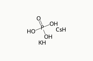 O=P(O)(O)O.[CsH].[KH]